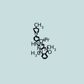 CC1CCN(c2ccc(Nc3ncc4c(n3)N(C)c3ccccc3C(=O)N4C)c(OC(C)C)c2)CC1